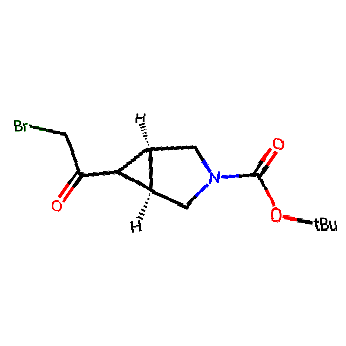 CC(C)(C)OC(=O)N1C[C@@H]2C(C(=O)CBr)[C@@H]2C1